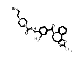 Cc1nc2c(o1)-c1ccccc1N(C(=O)c1ccc(CNC(=O)N3CCN(CCC(C)(C)C)CC3)c(C)c1)CC2